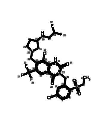 CCS(=O)(=O)c1ccc(Cl)cc1Cn1c(=O)[nH]c2c(Cl)c(CN3CCC(NCC(F)F)C3)c(C(F)(F)F)cc2c1=O